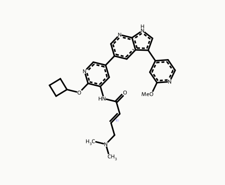 COc1cc(-c2c[nH]c3ncc(-c4cnc(OC5CCC5)c(NC(=O)/C=C/CN(C)C)c4)cc23)ccn1